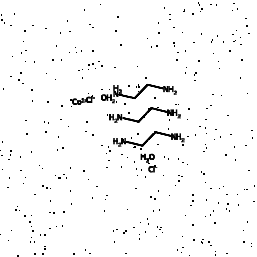 NCCN.NCCN.NCCN.O.O.[Cl-].[Cl-].[Co+2]